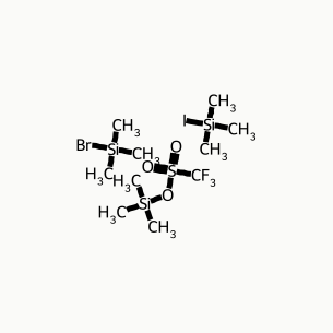 C[Si](C)(C)Br.C[Si](C)(C)I.C[Si](C)(C)OS(=O)(=O)C(F)(F)F